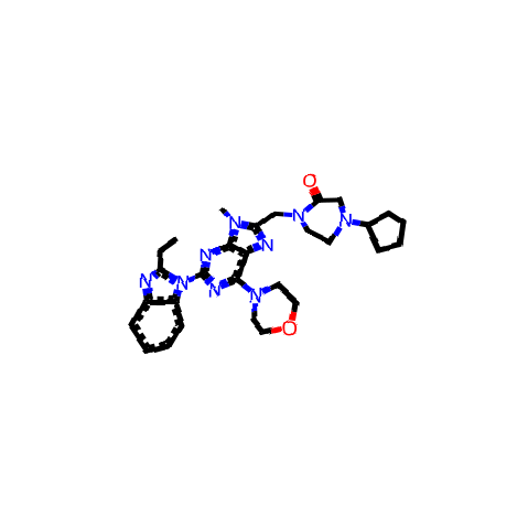 CCc1nc2ccccc2n1-c1nc(N2CCOCC2)c2nc(CN3CCN(C4CCCC4)CC3=O)n(C)c2n1